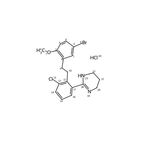 COc1ccc(Br)cc1CCc1c(Cl)cccc1C1=NCCCN1.Cl